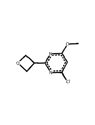 COc1cc(Cl)nc(C2COC2)n1